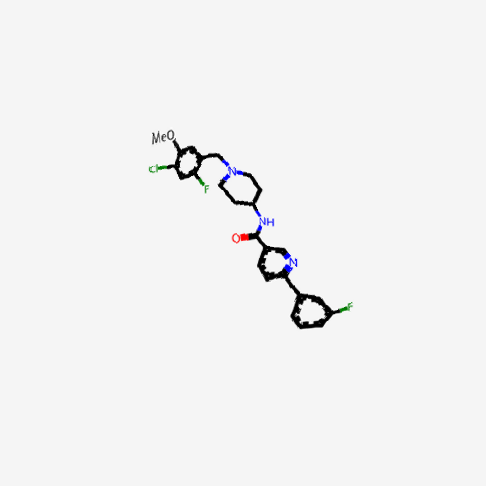 COc1cc(CN2CCC(NC(=O)c3ccc(-c4cccc(F)c4)nc3)CC2)c(F)cc1Cl